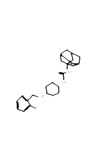 O=C(NC12CC3CC(CC(C3)C1)C2)N[C@H]1CC[C@H](OCc2ccccc2F)CC1